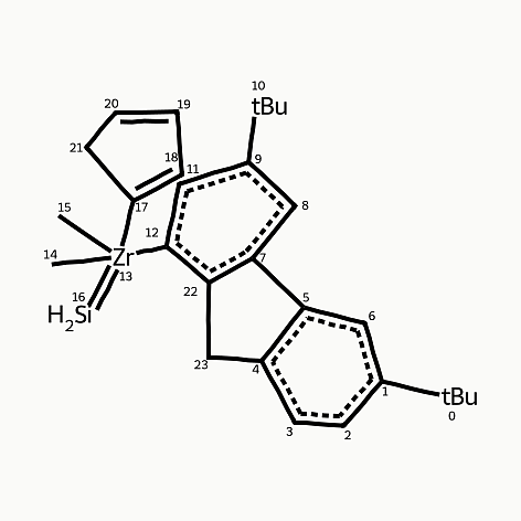 CC(C)(C)c1ccc2c(c1)-c1cc(C(C)(C)C)c[c]([Zr]([CH3])([CH3])(=[SiH2])[C]3=CC=CC3)c1C2